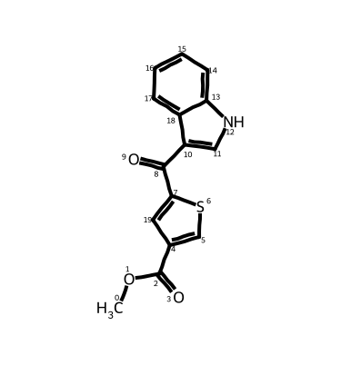 COC(=O)c1csc(C(=O)c2c[nH]c3ccccc23)c1